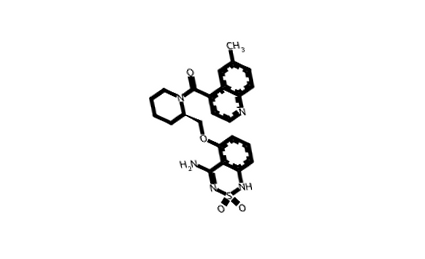 Cc1ccc2nccc(C(=O)N3CCCC[C@@H]3COc3cccc4c3C(N)=NS(=O)(=O)N4)c2c1